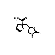 NC(=O)C1(CC2CNC(=O)O2)CC=CS1